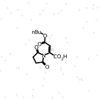 CCCCOC(=O)/C=C(/C(=O)O)N1C(=O)CCC1=O